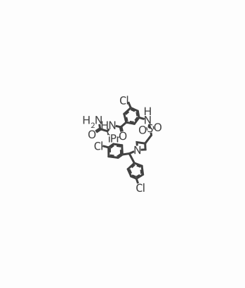 CC(C)[C@H](NC(=O)c1cc(Cl)cc(NS(=O)(=O)CC2CN(C(c3ccc(Cl)cc3)c3ccc(Cl)cc3)C2)c1)C(N)=O